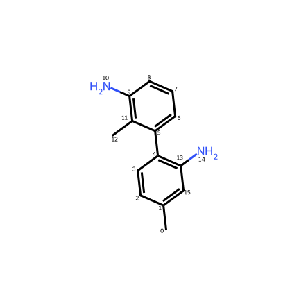 Cc1ccc(-c2cccc(N)c2C)c(N)c1